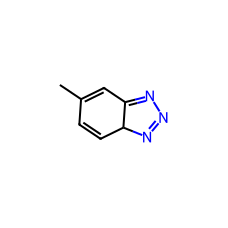 CC1=CC2=NN=NC2C=C1